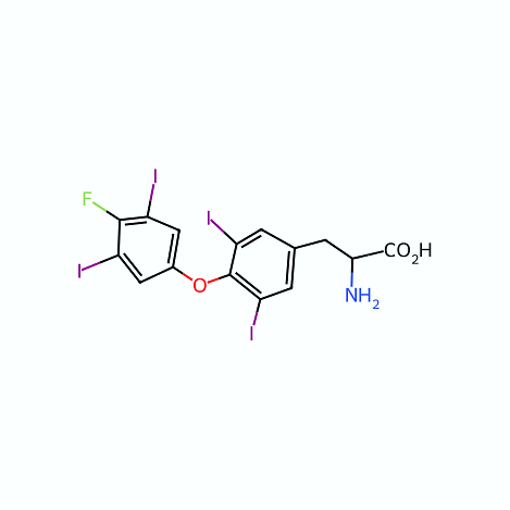 NC(Cc1cc(I)c(Oc2cc(I)c(F)c(I)c2)c(I)c1)C(=O)O